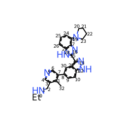 CCNCc1cncc(-c2ccc3[nH]nc(-c4nc5c(N6CCCC6)cccc5[nH]4)c3c2)c1C